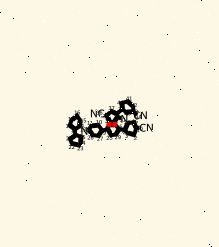 N#Cc1ccc(-c2ccc(-c3ccc(-n4c5ccccc5c5ccccc54)cc3)cc2)c(-n2c3ccc(C#N)cc3c3cccc(C#N)c32)c1